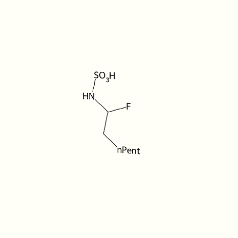 CCCCCCC(F)NS(=O)(=O)O